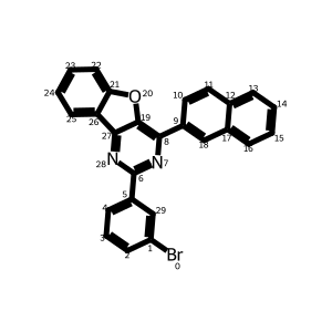 Brc1cccc(-c2nc(-c3ccc4ccccc4c3)c3oc4ccccc4c3n2)c1